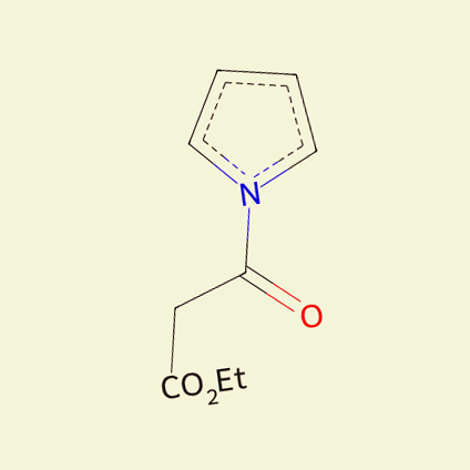 CCOC(=O)CC(=O)n1cccc1